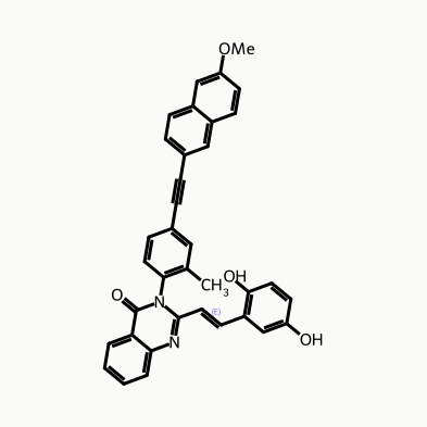 COc1ccc2cc(C#Cc3ccc(-n4c(/C=C/c5cc(O)ccc5O)nc5ccccc5c4=O)c(C)c3)ccc2c1